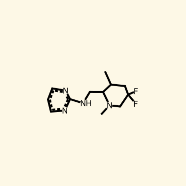 CC1CC(F)(F)CN(C)C1CNc1ncccn1